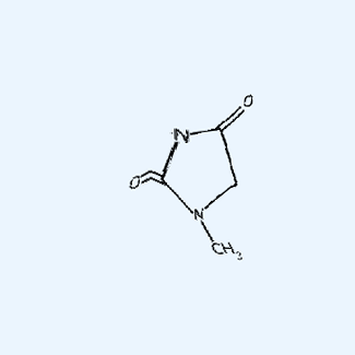 CN1CC(=O)[N]C1=O